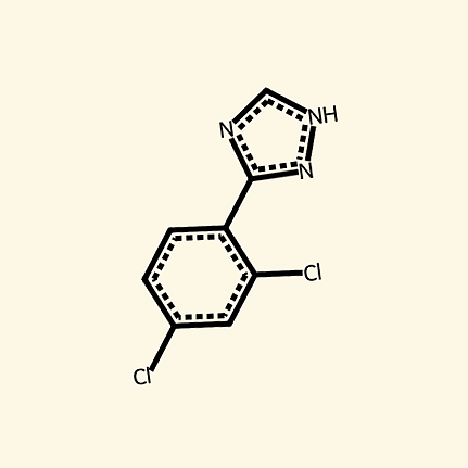 Clc1ccc(-c2nc[nH]n2)c(Cl)c1